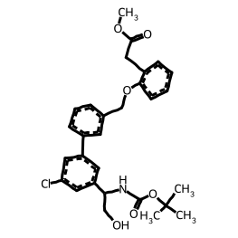 COC(=O)Cc1ccccc1OCc1cccc(-c2cc(Cl)cc(C(CO)NC(=O)OC(C)(C)C)c2)c1